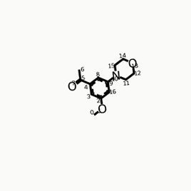 COc1cc(C(C)=O)cc(N2CCOCC2)c1